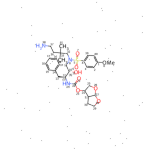 COc1ccc(S(=O)(=O)N(C[C@H](O)[C@H](Cc2ccccc2)NC(=O)OC2COC3OCCC23)CC(C)(C)CCN)cc1